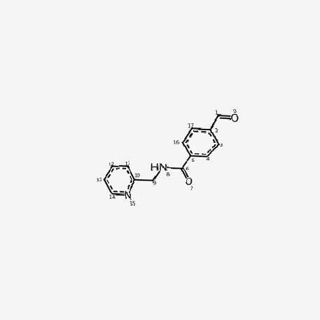 O=Cc1ccc(C(=O)NCc2ccccn2)cc1